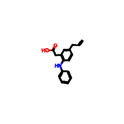 C=CCc1ccc(Nc2ccccc2)c(CC(=O)O)c1